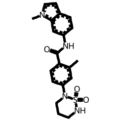 Cc1cc(N2CCCNS2(=O)=O)ccc1C(=O)Nc1ccc2ccn(C)c2c1